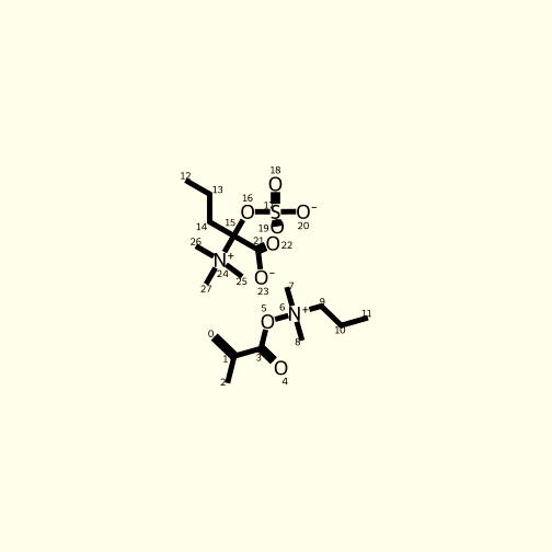 C=C(C)C(=O)O[N+](C)(C)CCC.CCCC(OS(=O)(=O)[O-])(C(=O)[O-])[N+](C)(C)C